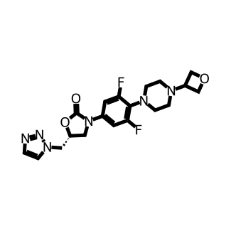 O=C1O[C@@H](Cn2ccnn2)CN1c1cc(F)c(N2CCN(C3COC3)CC2)c(F)c1